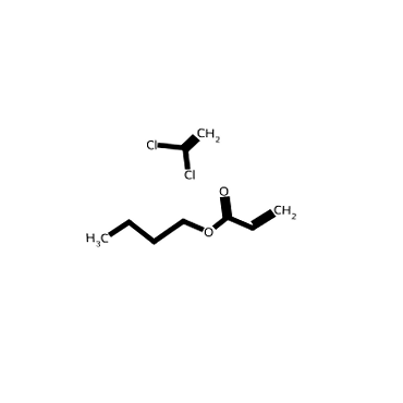 C=C(Cl)Cl.C=CC(=O)OCCCC